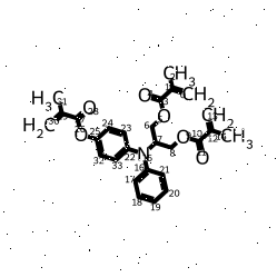 C=C(C)C(=O)OCC(COC(=O)C(=C)C)N(c1ccccc1)c1ccc(OC(=O)C(=C)C)cc1